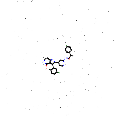 CC(C(=O)Nc1cc(-c2[nH]c3ccn(C)c(=O)c3c2-c2cc(F)ccc2C#N)ccn1)c1ccc(F)cc1